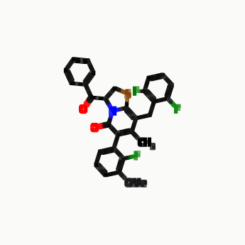 COc1cccc(-c2c(C)c(Cc3c(F)cccc3F)c3n(c2=O)C(C(=O)c2ccccc2)CS3)c1F